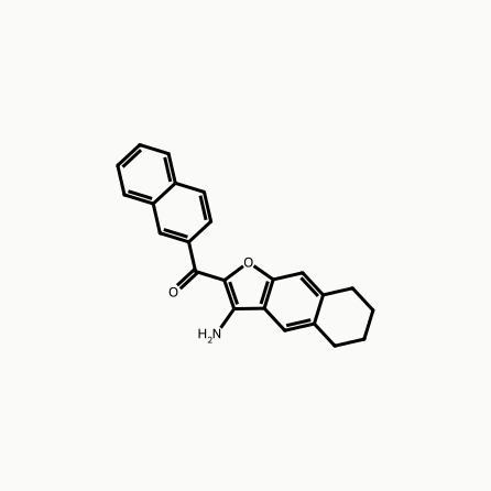 Nc1c(C(=O)c2ccc3ccccc3c2)oc2cc3c(cc12)CCCC3